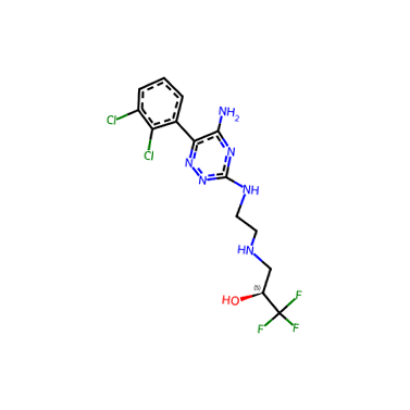 Nc1nc(NCCNC[C@H](O)C(F)(F)F)nnc1-c1cccc(Cl)c1Cl